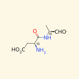 C[C@@H]([C]=O)NC(=O)[C@@H](N)CC(=O)O